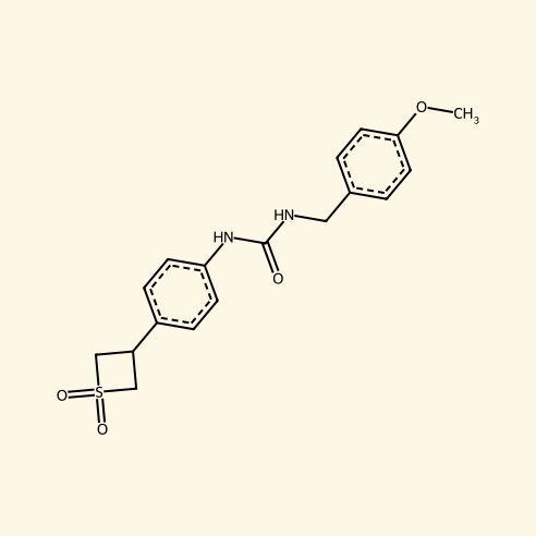 COc1ccc(CNC(=O)Nc2ccc(C3CS(=O)(=O)C3)cc2)cc1